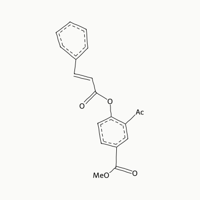 COC(=O)c1ccc(OC(=O)/C=C/c2ccccc2)c(C(C)=O)c1